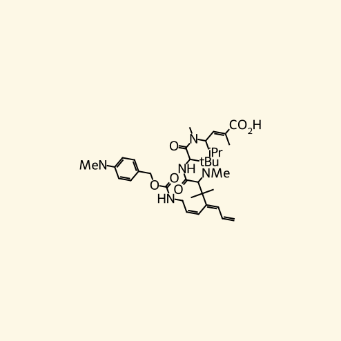 C=C/C=C(\C=C/CNC(=O)OCc1ccc(NC)cc1)C(C)(C)C(NC)C(=O)NC(C(=O)N(C)C(/C=C(\C)C(=O)O)C(C)C)C(C)(C)C